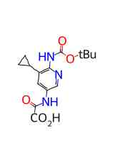 CC(C)(C)OC(=O)Nc1ncc(NC(=O)C(=O)O)cc1C1CC1